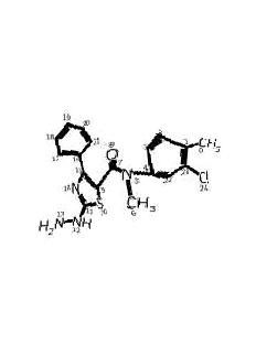 Cc1ccc(N(C)C(=O)c2sc(NN)nc2-c2ccccc2)cc1Cl